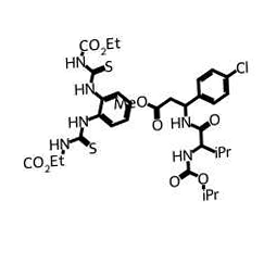 CCOC(=O)NC(=S)Nc1ccccc1NC(=S)NC(=O)OCC.COC(=O)CC(NC(=O)C(NC(=O)OC(C)C)C(C)C)c1ccc(Cl)cc1